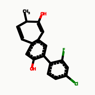 CC1C=Cc2cc(O)c(-c3ccc(Cl)cc3F)cc2C=C1O